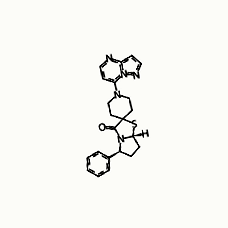 O=C1N2[C@@H](CC[C@H]2c2ccccc2)SC12CCN(c1ccnc3ccnn13)CC2